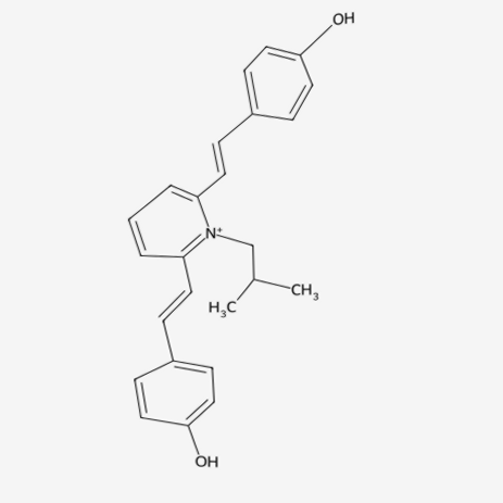 CC(C)C[n+]1c(/C=C/c2ccc(O)cc2)cccc1/C=C/c1ccc(O)cc1